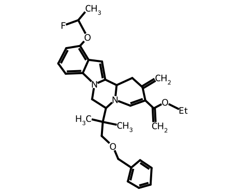 C=C1CC2c3cc4c(OC(C)F)cccc4n3CC(C(C)(C)COCc3ccccc3)N2C=C1C(=C)OCC